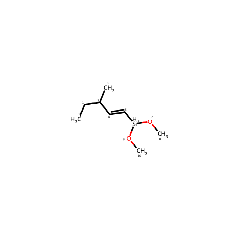 CCC(C)C=C[SiH](OC)OC